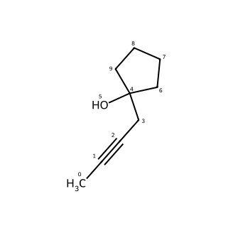 CC#CCC1(O)CCCC1